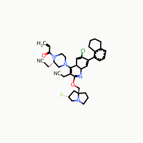 C=CC(=O)N1CCN(C2=C(CC#N)C(OC[C@@]34CCCN3C[C@H](F)C4)=NC3C=C(c4cccc5c4CCCC5)C(Cl)=CC23)C[C@@H]1CC#N